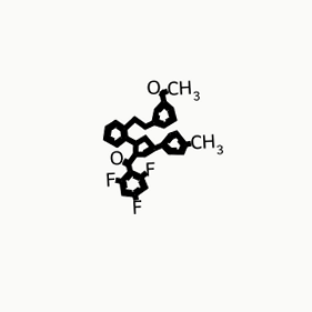 CC(=O)c1cccc(CCc2ccccc2C2CC(c3ccc(C)cc3)=CC2C(=O)c2c(F)cc(F)cc2F)c1